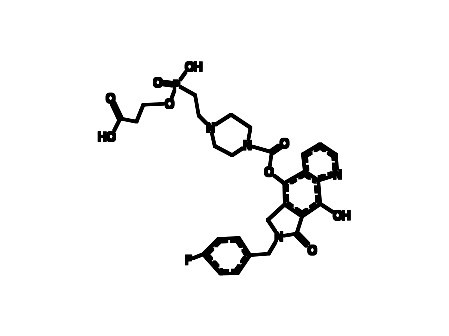 O=C(O)CCOP(=O)(O)CCN1CCN(C(=O)Oc2c3c(c(O)c4ncccc24)C(=O)N(Cc2ccc(F)cc2)C3)CC1